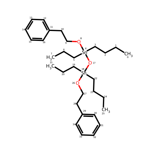 CCC[CH2][Sn]([CH2]CC)([O]CCc1ccccc1)[O][Sn]([CH2]CC)([CH2]CCC)[O]CCc1ccccc1